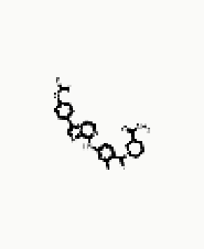 Cc1cc(Nc2nccn3c(-c4ccc(OC(F)F)cc4)cnc23)ccc1C(=O)N1CCCC(C(N)=O)C1